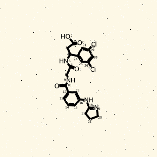 O=C(O)CC(NC(=O)CNC(=O)c1cccc(NC2=NCCC2)c1)c1cc(Cl)cc(Cl)c1